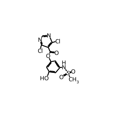 CS(=O)(=O)Nc1cc(O)cc(OC(=O)c2c(Cl)ncnc2Cl)c1